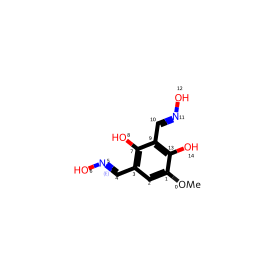 COc1cc(/C=N/O)c(O)c(C=NO)c1O